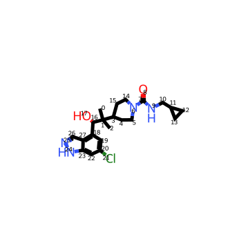 CC(C)(C1CCN(C(=O)NCC2CC2)CC1)C(O)c1cc(Cl)cc2[nH]ncc12